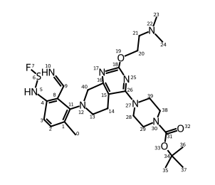 Cc1ccc(NSF)c(C=N)c1N1CCc2c(nc(OCCN(C)C)nc2N2CCN(C(=O)OC(C)(C)C)CC2)C1